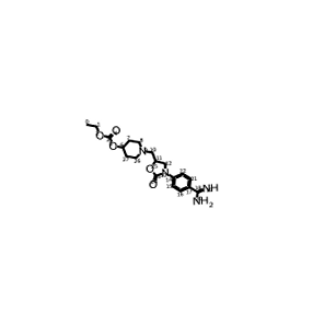 CCOC(=O)OC1CCN(CC2CN(c3ccc(C(=N)N)cc3)C(=O)O2)CC1